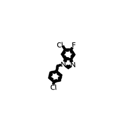 Fc1cc2ncn(Cc3ccc(Cl)cc3)c2cc1Cl